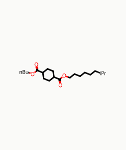 CCCCOC(=O)C1CCC(C(=O)OCCCCCCC(C)C)CC1